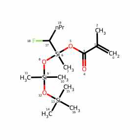 C=C(C)C(=O)O[Si](C)(O[Si](C)(C)O[Si](C)(C)C)C(F)CCC